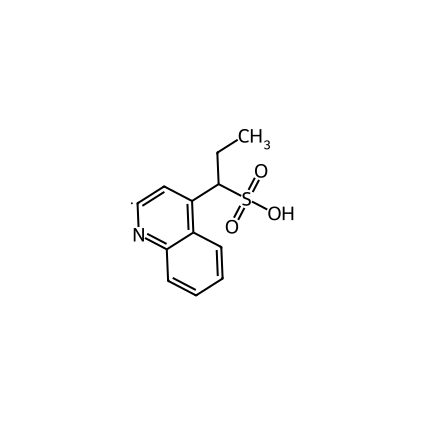 CCC(c1c[c]nc2ccccc12)S(=O)(=O)O